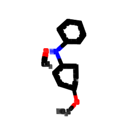 C=O.O=S(=O)(O)Oc1ccc(Nc2ccccc2)cc1